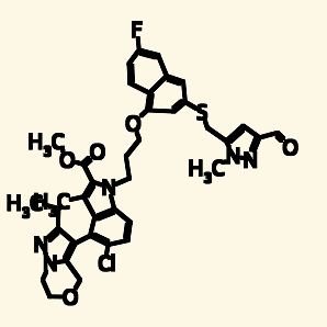 CCc1nn2c(c1-c1c(Cl)ccc3c1c(C)c(C(=O)OC)n3CCCOc1cc(SCc3cc(C=O)nn3C)cc3cc(F)ccc13)COCC2